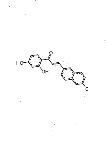 O=C(/C=C/c1ccc2cc(Cl)ccc2c1)c1ccc(O)cc1O